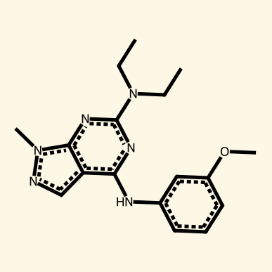 CCN(CC)c1nc(Nc2cccc(OC)c2)c2cnn(C)c2n1